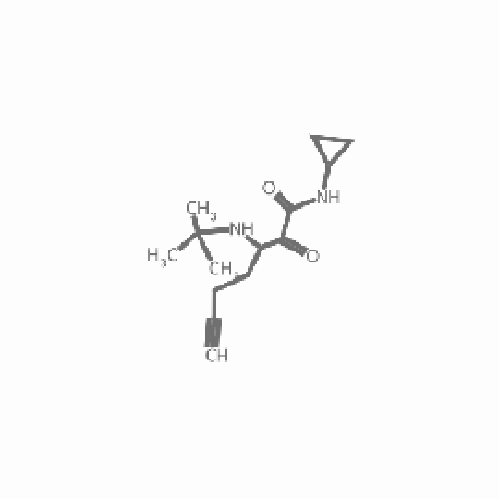 C#CCCC(NC(C)(C)C)C(=O)C(=O)NC1CC1